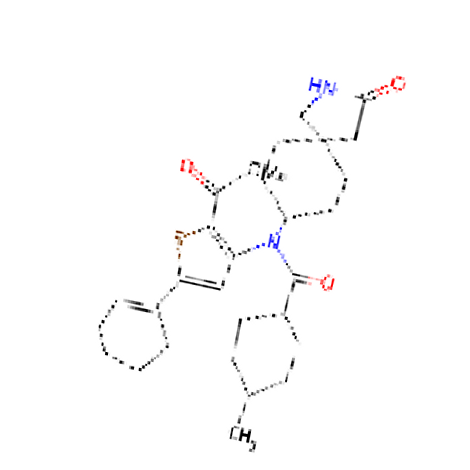 COC(=O)c1sc(C2=CCCCC2)cc1N(C(=O)C1CCC(C)CC1)C1CCC2(CC1)CNC(=O)C2